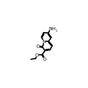 CCOC(=O)c1ccc2cc(N)ccn2c1=O